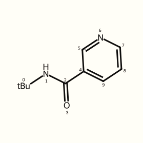 CC(C)(C)NC(=O)c1[c]nccc1